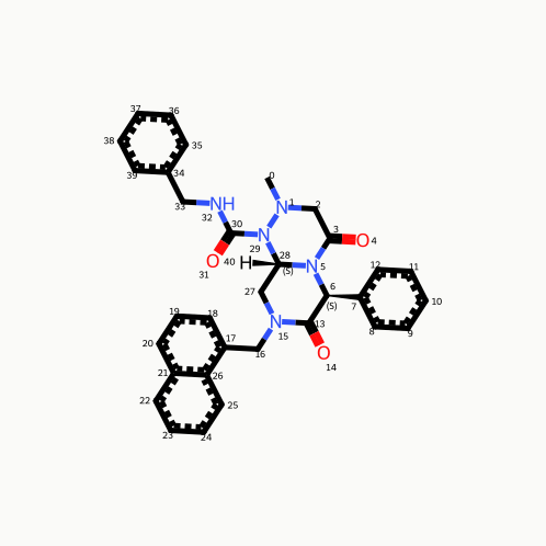 CN1CC(=O)N2[C@@H](c3ccccc3)C(=O)N(Cc3cccc4ccccc34)C[C@@H]2N1C(=O)NCc1ccccc1